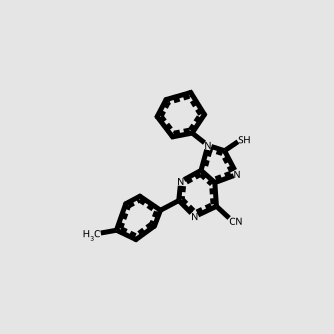 Cc1ccc(-c2nc(C#N)c3nc(S)n(-c4ccccc4)c3n2)cc1